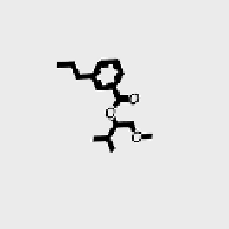 CCCc1cccc(C(=O)OC(COC)C(C)C)c1